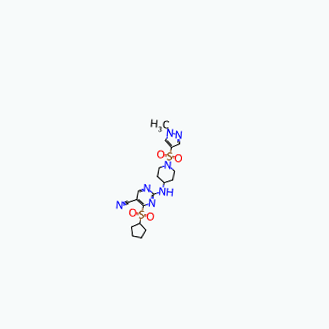 Cn1cc(S(=O)(=O)N2CCC(Nc3ncc(C#N)c(S(=O)(=O)C4CCCC4)n3)CC2)cn1